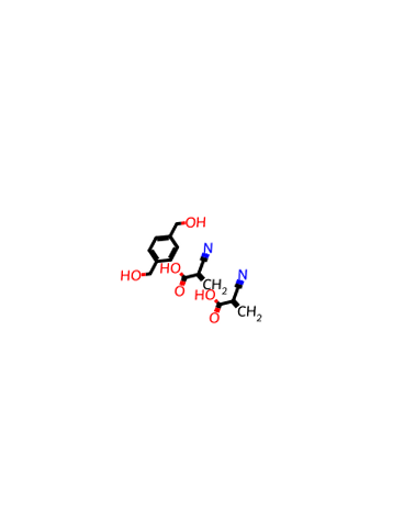 C=C(C#N)C(=O)O.C=C(C#N)C(=O)O.OCc1ccc(CO)cc1